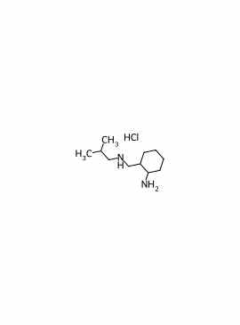 CC(C)CNCC1CCCCC1N.Cl